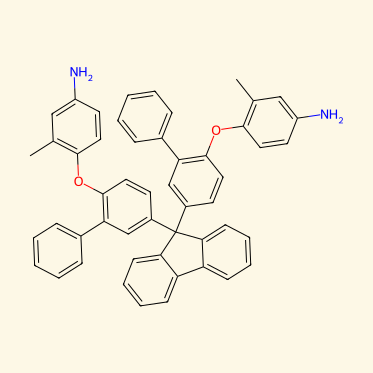 Cc1cc(N)ccc1Oc1ccc(C2(c3ccc(Oc4ccc(N)cc4C)c(-c4ccccc4)c3)c3ccccc3-c3ccccc32)cc1-c1ccccc1